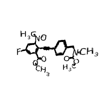 COC(=O)c1cc(F)cc([N+](C)=O)c1C#Cc1ccc(CN(C)C(=O)OC)cc1